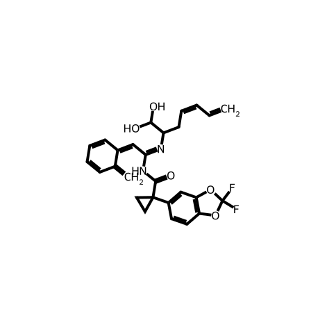 C=C/C=C\CC(N=C(/C=c1/ccccc1=C)NC(=O)C1(c2ccc3c(c2)OC(F)(F)O3)CC1)C(O)O